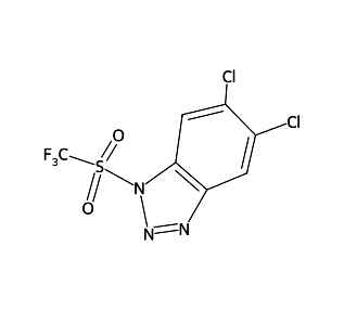 O=S(=O)(n1nnc2cc(Cl)c(Cl)cc21)C(F)(F)F